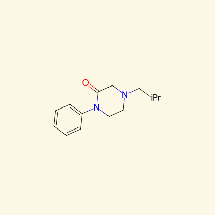 CC(C)CN1CCN(c2ccccc2)C(=O)C1